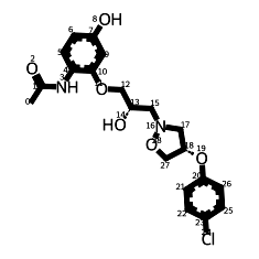 CC(=O)Nc1ccc(O)cc1OC[C@@H](O)CN1C[C@H](Oc2ccc(Cl)cc2)CO1